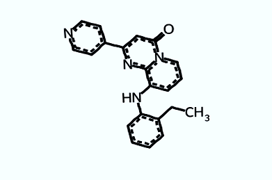 CCc1ccccc1Nc1cccn2c(=O)cc(-c3ccncc3)nc12